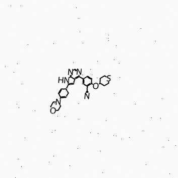 N#Cc1cc(-c2ncnc3[nH]c(C4C=CC(N5CCOCC5)=CC4)cc23)ccc1OC1CCSCC1